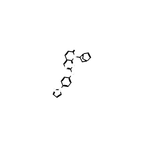 O=c1ccc2cnc(Nc3ccc(-n4cccn4)cc3)nc2n1C1CC2C=CC1C2